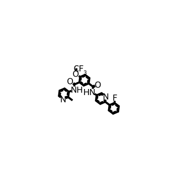 Cc1ncccc1NC(=O)c1cc(C(=O)Nc2ccc(-c3ccccc3F)nc2)ccc1OC(F)(F)F